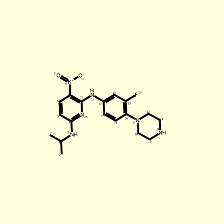 CC(C)Nc1ccc([N+](=O)[O-])c(Nc2ccc(N3CCNCC3)c(F)c2)n1